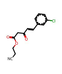 N#CCCOC(=O)CC(=O)C=Cc1cccc(Cl)c1